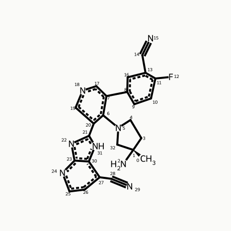 C[C@]1(N)CCN(c2c(-c3ccc(F)c(C#N)c3)cncc2-c2nc3nccc(C#N)c3[nH]2)C1